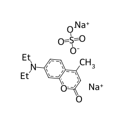 CCN(CC)c1ccc2c(C)cc(=O)oc2c1.O=S(=O)([O-])[O-].[Na+].[Na+]